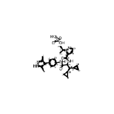 Cc1n[nH]c(C)c1-c1ccc(NC(=O)C(NC(=O)c2ccnn2C(C)C)C(C2CC2)C2CC2)cc1.O=S(=O)(O)O